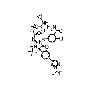 CC(C)(C)C[C@]1(c2ccc(-c3cnn(C(F)F)c3)cc2)N/C(=N/C(=O)OC(C)(C)C)N([C@H](COC(=O)NC2CC2)c2ccc(Cl)c(C(N)=O)c2)C1=O